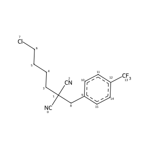 N#CC(C#N)(CCCCCl)Cc1ccc(C(F)(F)F)cc1